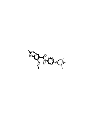 CCOc1cc2nc(C)cn2cc1C(=O)Nc1ccc(N2C[C@@H](C)N(C)[C@@H](C)C2)nn1